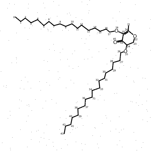 CCCCCCCCCCCCCCCCCCOC1=C(C)OCC(OCCCCCCCCCCCCCCCCCC)C1=O